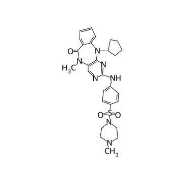 CN1CCN(S(=O)(=O)c2ccc(Nc3ncc4c(n3)N(C3CCCC3)c3ccccc3C(=O)N4C)cc2)CC1